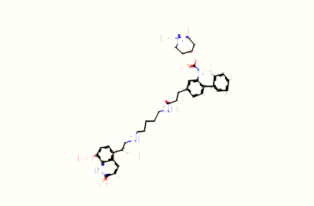 C[N+]1(C)CCC(OC(=O)Nc2cc(CCC(=O)NCCCCCNC[C@H](O)c3ccc(O)c4[nH]c(=O)ccc34)ccc2-c2ccccc2)CC1